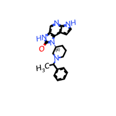 CC(c1ccccc1)N1CCC[C@@H](n2c(=O)[nH]c3cnc4[nH]ccc4c32)C1